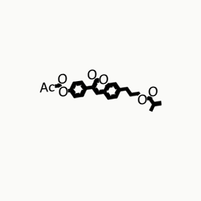 C=C(C)C(=O)OCCCc1ccc2cc(-c3ccc(OC(=O)C(C)=O)cc3)c(=O)oc2c1